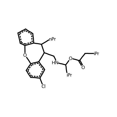 CCCC1c2ccccc2Oc2ccc(Cl)cc2C1CNC(OC(=O)CC(C)C)C(C)C